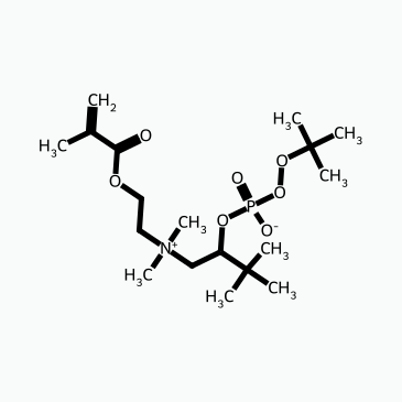 C=C(C)C(=O)OCC[N+](C)(C)CC(OP(=O)([O-])OOC(C)(C)C)C(C)(C)C